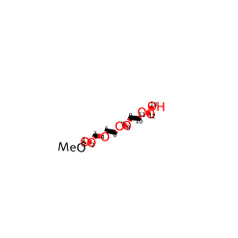 COOOCOCCOOCCOOO